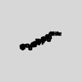 CC(=O)NC[C@H]1CN(c2ccc(-c3cnc(N4CCN(C(=O)COCc5ccccc5)CC4)nc3)c(F)c2)C(=O)O1